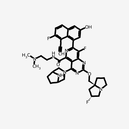 C#Cc1c(F)ccc2cc(O)cc(-c3nc(C(=O)NCCN(C)C)c4c(N5CC6CCC(C5)N6)nc(OC[C@@]56CCCN5C[C@H](F)C6)nc4c3F)c12